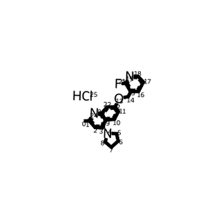 Cc1cc(N2CCCC2)c2ccc(OCc3cccnc3F)cc2n1.Cl